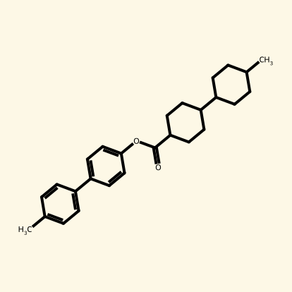 Cc1ccc(-c2ccc(OC(=O)C3CCC(C4CCC(C)CC4)CC3)cc2)cc1